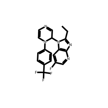 CCc1nc2ncc(F)cc2n1C1C=NC=CN1c1ccc(C(F)(F)F)cc1